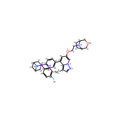 N#Cc1cnn2cc(OCCN3C4CCC3COC4)cc(-c3ccc(N4CC5CC(C4)N5Cc4ccc(F)cc4)nc3)c12